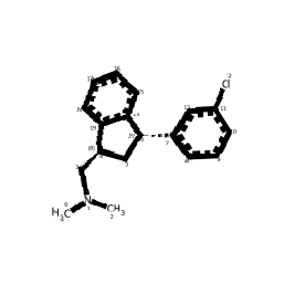 CN(C)C[C@@H]1C[C@@H](c2cccc(Cl)c2)c2ccccc21